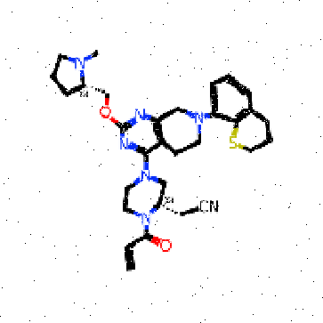 C=CC(=O)N1CCN(c2nc(OC[C@@H]3CCCN3C)nc3c2CCN(c2cccc4c2SCCC4)C3)C[C@@H]1CC#N